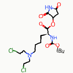 CC(C)(C)OC(=O)N[C@@H](CCCCN(CCCl)CCCl)C(=O)OC1CC(=O)NC1=O